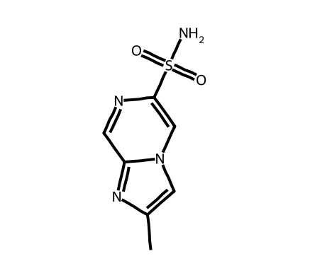 Cc1cn2cc(S(N)(=O)=O)ncc2n1